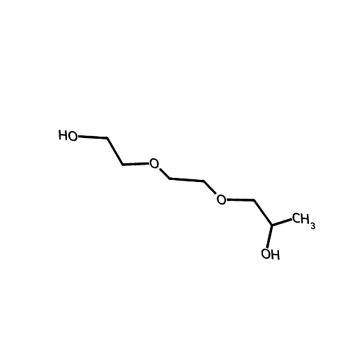 CC(O)COCCOCCO